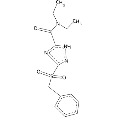 CCN(CC)C(=O)c1nc(S(=O)(=O)Cc2ccccc2)n[nH]1